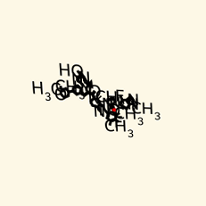 Cc1cc(-n2nc3c(c2-n2ccn(-c4ccc5c(cnn5C)c4F)c2=O)[C@H](C)N(C(=O)c2cc4cc(C5CCOC(C)(C)C5)ccc4n2C2(c4nc(O)ns4)CC2)CC3)cc(C)c1F